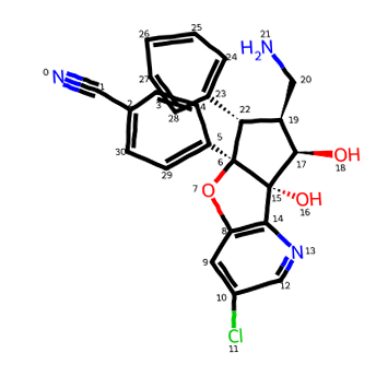 N#Cc1ccc([C@@]23Oc4cc(Cl)cnc4[C@]2(O)[C@H](O)[C@H](CN)[C@H]3c2ccccc2)cc1